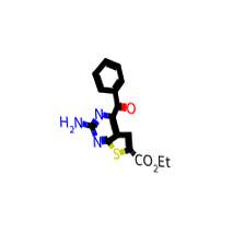 CCOC(=O)c1cc2c(C(=O)c3ccccc3)nc(N)nc2s1